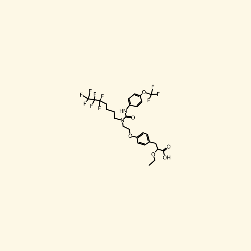 CCOC(Cc1ccc(OCCN(CCCCC(F)(F)C(F)(F)C(F)(F)F)C(=O)Nc2ccc(OC(F)(F)F)cc2)cc1)C(=O)O